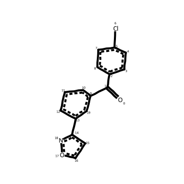 O=C(c1ccc(Cl)cc1)c1cccc(-c2ccon2)c1